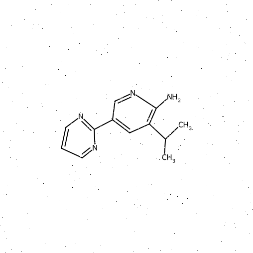 CC(C)c1cc(-c2ncccn2)cnc1N